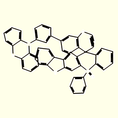 O=P1(c2ccccc2)c2ccccc2C2(c3ccccc3Sc3cc(-c4cccc(N5c6ccccc6Sc6ccccc65)c4)ccc32)c2cc3c(cc21)oc1ccccc13